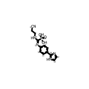 N#CCCNC(=Nc1ccc(-c2ncc[nH]2)cc1)P(=O)(O)O